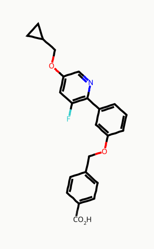 O=C(O)c1ccc(COc2cccc(-c3ncc(OCC4CC4)cc3F)c2)cc1